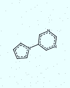 [c]1cccn1-c1cncnc1